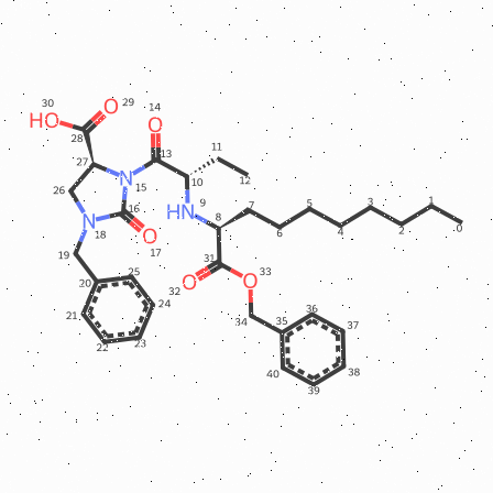 CCCCCCCC[C@H](N[C@@H](CC)C(=O)N1C(=O)N(Cc2ccccc2)C[C@H]1C(=O)O)C(=O)OCc1ccccc1